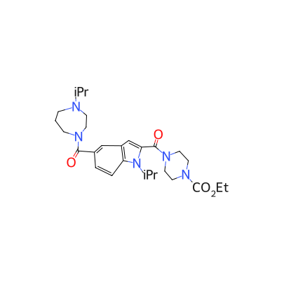 CCOC(=O)N1CCN(C(=O)c2cc3cc(C(=O)N4CCCN(C(C)C)CC4)ccc3n2C(C)C)CC1